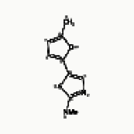 CNc1ncc(-c2ccc(C)o2)s1